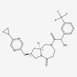 O=C(C(O)c1cccc(C(F)(F)F)c1)N1CCC(=O)N2C[C@@H](Oc3cnc(C4CC4)cn3)C[C@H]2C1